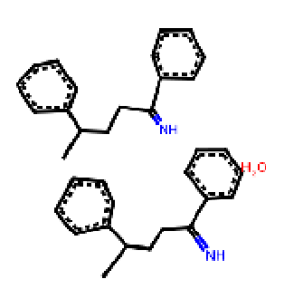 CC(CCC(=N)c1ccccc1)c1ccccc1.CC(CCC(=N)c1ccccc1)c1ccccc1.O